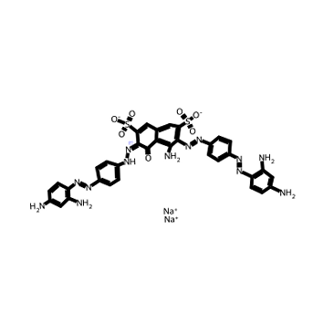 Nc1ccc(N=Nc2ccc(N=Nc3c(S(=O)(=O)[O-])cc4c(c3N)C(=O)/C(=N\Nc3ccc(N=Nc5ccc(N)cc5N)cc3)C(S(=O)(=O)[O-])=C4)cc2)c(N)c1.[Na+].[Na+]